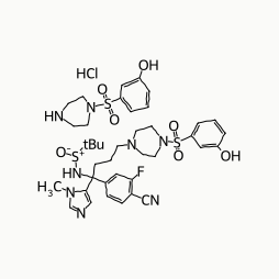 Cl.Cn1cncc1C(CCCN1CCN(S(=O)(=O)c2cccc(O)c2)CC1)(N[S+]([O-])C(C)(C)C)c1ccc(C#N)c(F)c1.O=S(=O)(c1cccc(O)c1)N1CCNCC1